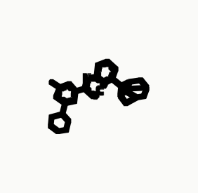 Cc1cc(-c2ccc3c(C4C5CC6CC(C5)CC4C6)cccc3n2)cc(C2CCCCC2)c1